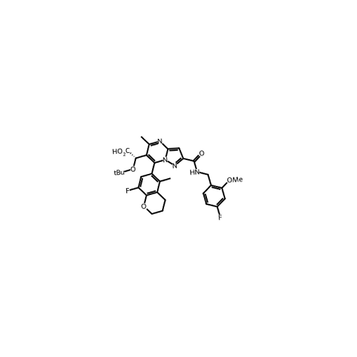 COc1cc(F)ccc1CNC(=O)c1cc2nc(C)c([C@H](OC(C)(C)C)C(=O)O)c(-c3cc(F)c4c(c3C)CCCO4)n2n1